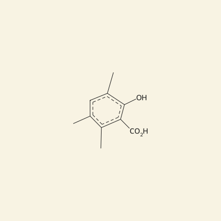 Cc1cc(C)c(O)c(C(=O)O)c1C